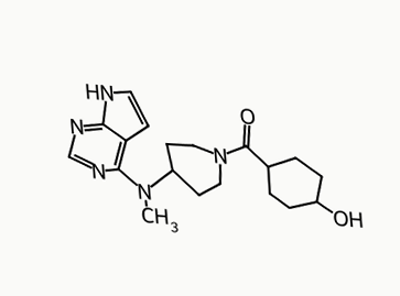 CN(c1ncnc2[nH]ccc12)C1CCN(C(=O)C2CCC(O)CC2)CC1